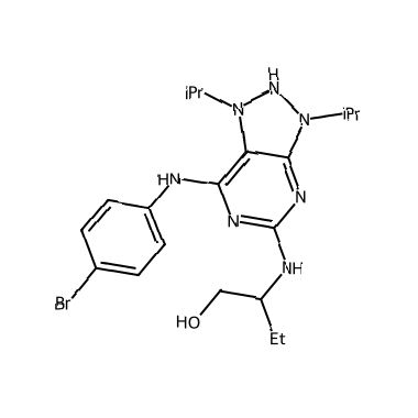 CCC(CO)Nc1nc(Nc2ccc(Br)cc2)c2c(n1)N(C(C)C)NN2C(C)C